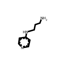 NCCCNc1ccncc1